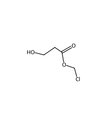 O=C(CCO)OCCl